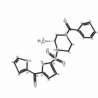 C[C@@H]1CN(C(=O)c2ccccc2)CCN1S(=O)(=O)c1ccc(C(=O)c2cccs2)s1